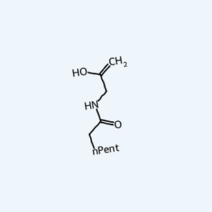 C=C(O)CNC(=O)CCCCCC